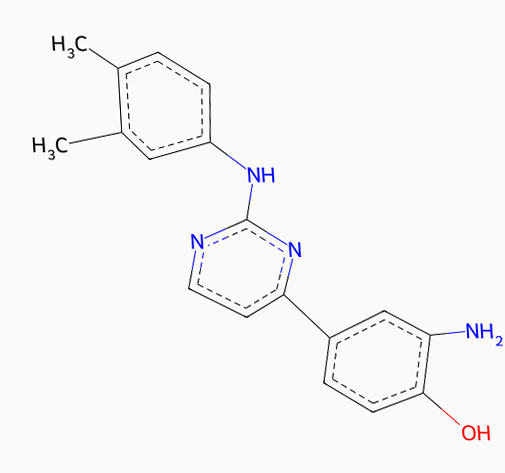 Cc1ccc(Nc2nccc(-c3ccc(O)c(N)c3)n2)cc1C